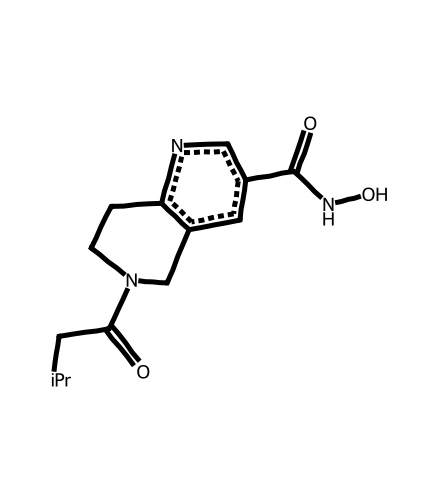 CC(C)CC(=O)N1CCc2ncc(C(=O)NO)cc2C1